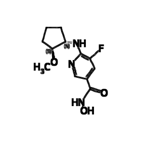 CO[C@H]1CCC[C@@H]1Nc1ncc(C(=O)NO)cc1F